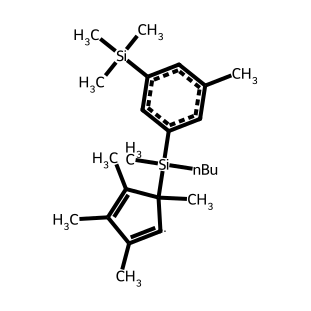 CCCC[Si](C)(c1cc(C)cc([Si](C)(C)C)c1)C1(C)[C]=C(C)C(C)=C1C